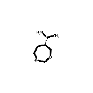 CN(N)[C@H]1CCNCOC1